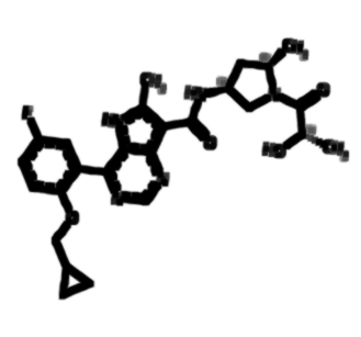 Cc1[nH]c2c(-c3cc(F)ccc3OCC3CC3)ncnc2c1C(=O)N[C@H]1C[C@@H](C)N(C(=O)[C@H](C)O)C1